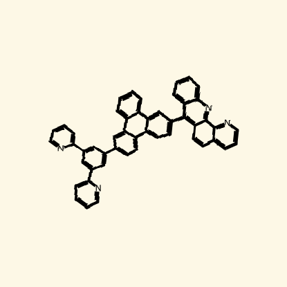 c1ccc(-c2cc(-c3ccc4c5ccc(-c6c7ccccc7nc7c6ccc6cccnc67)cc5c5ccccc5c4c3)cc(-c3ccccn3)c2)nc1